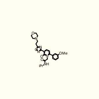 COc1cccc(-c2ccc(-c3noc(CCN4CCOCC4)n3)c(=O)n2CC(=O)NC(C)C)c1